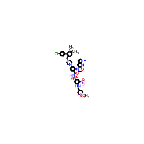 CC1(C)CCC(CN2CCN(c3ccc(C(=O)NS(=O)(=O)c4ccc(NCC5CC[PH](C)(O)CC5)c([N+](=O)[O-])c4)c(N4CCOc5nc6[nH]ccc6cc54)c3)CC2)=C(c2ccc(Cl)cc2)C1